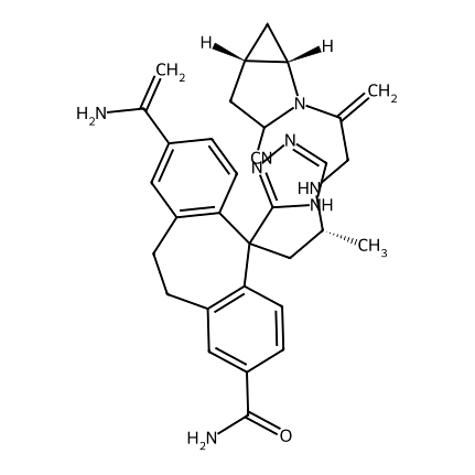 C=C(N)c1ccc2c(c1)CCc1cc(C(N)=O)ccc1C2(C[C@@H](C)NCC(=C)N1C(C#N)C[C@@H]2C[C@@H]21)c1nnc[nH]1